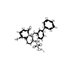 CS(=O)(=O)N[C@H]1CCc2c(F)ccc(=O)n2[C@H]1Cc1cccc(-c2ccccc2)c1